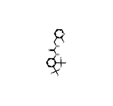 Fc1ncccc1CNC(=S)Nc1cccc(C(F)(F)F)c1C(F)(F)F